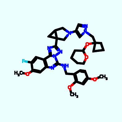 COc1ccc(CNc2nc3cc(OC)c(F)cc3c3nc(C45CC4CN(c4cnn(CC6(OC7CCCCO7)CCC6)c4)C5)nn23)c(OC)c1